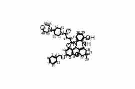 Cc1cc(OCc2ccccc2)ccc1C1C2=C(CC(C)(C)CC2=O)Nc2c(O)cccc2N1C(=O)CCC(=O)N1CCC(N2CCOCC2)CC1